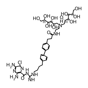 N=C(NCCCCc1ccc(-c2ccc(CCC(=O)NCCN(C[C@H](O)[C@H](O)[C@@H](O)[C@@H](O)CO)C[C@H](O)[C@@H](O)[C@H](O)[C@H](O)CO)cc2)cc1)NC(=O)c1nc(Cl)c(N)nc1N